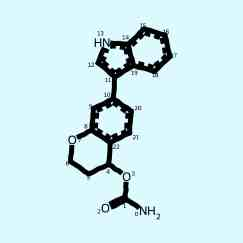 NC(=O)OC1CCOc2cc(-c3c[nH]c4ccccc34)ccc21